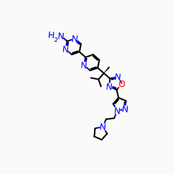 CC(C)[C@](C)(c1ccc(-c2cnc(N)nc2)nc1)c1noc(-c2cnn(CCN3CCCC3)c2)n1